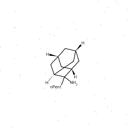 CCCCCC1(N)[C@H]2C[C@H]3C[C@H](C2)C[C@H]1C3